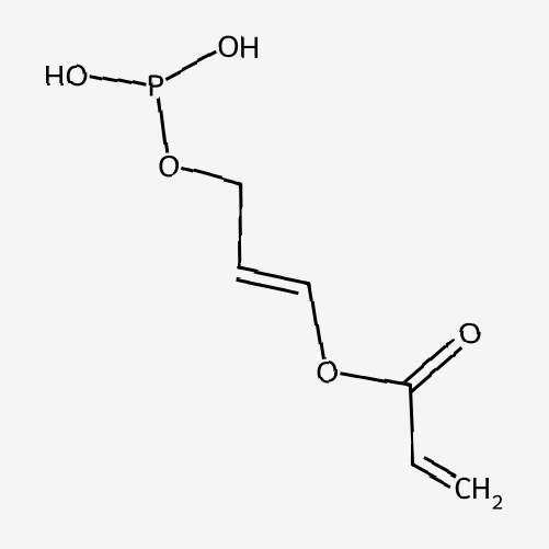 C=CC(=O)OC=CCOP(O)O